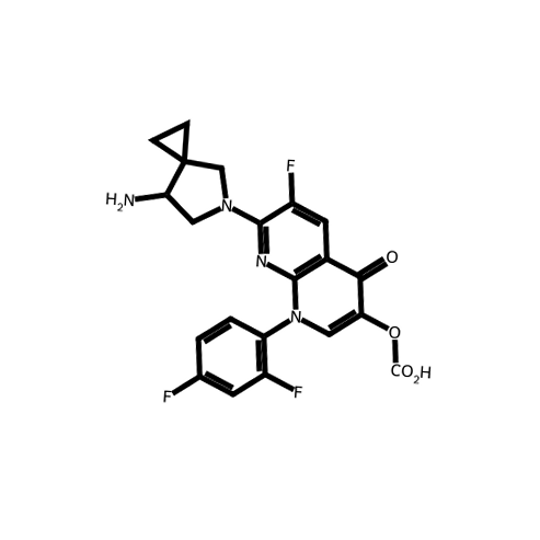 NC1CN(c2nc3c(cc2F)c(=O)c(OC(=O)O)cn3-c2ccc(F)cc2F)CC12CC2